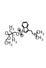 CCOC(=O)C(C)(C)COS(=O)(=O)n1cc(CCN(C)C)c2ccccc21